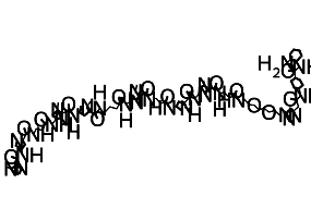 Cn1cc(NC(=O)c2nc(NC(=O)CCNC(=O)c3cc(NC(=O)c4nccn4C)cn3C)cn2C)cc1C(=O)NCCCC(=O)Nc1cn(C)c(C(=O)NCCC(=O)Nc2cc(C(=O)Nc3cn(C)c(C(=O)NCCC(=O)NCCOCCOCCn4cc(CC(=O)Nc5ccc(C(=O)Nc6ccccc6N)cc5)nn4)n3)n(C)c2)n1